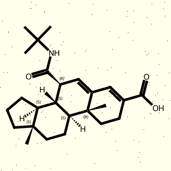 CC(C)(C)NC(=O)[C@H]1C=C2C=C(C(=O)O)CC[C@]2(C)[C@H]2CC[C@]3(C)CCC[C@H]3[C@H]12